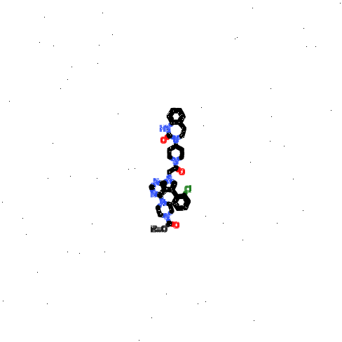 CC(C)COC(=O)N1CCN(c2ncnc3c2c(-c2ccccc2Cl)cn3CC(=O)N2CCC(N3CCc4ccccc4NC3=O)CC2)CC1